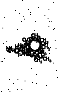 CC[C@H]1OC(=O)[C@H](C)[C@@H](O)[C@H](C)[C@@H](O[C@H]2C[C@@H](N(C)CCc3cn([C@H](CF)[C@H](OC)c4ccc(-n5ccnn5)cc4)nn3)C[C@@H](C)O2)[C@](C)(OC)C[C@@H](C)C(=O)[C@H](C)[C@H]2N(C)C(=O)O[C@]12C